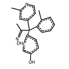 C/C(=N/O)[C@](c1ccc(O)cc1)(c1ccnc(C)c1)c1ccccc1C